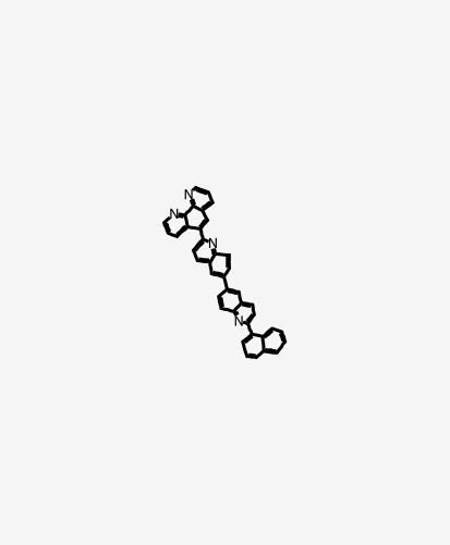 c1ccc2c(-c3ccc4cc(-c5ccc6nc(-c7cc8cccnc8c8ncccc78)ccc6c5)ccc4n3)cccc2c1